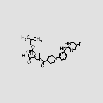 CC(C)COC(=O)N[C@@H](CNC(=O)C1CCN(c2cccc(NC3=NCC(F)CN3)c2)CC1)C(=O)O